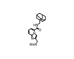 CNCc1cn2c(C(=O)NCC34CC5CC(CC(C5)C3)C4)cccc2n1